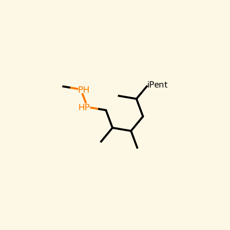 CCCC(C)C(C)CC(C)C(C)CPPC